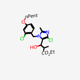 CCCCCOc1ccc(Cn2c(C)nc(Cl)c2C(O)C(C)C(=O)OCC)c(Cl)c1